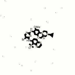 COc1cc2c(cc1Nc1ncc(Br)c(Nc3ccc4nccnc4c3P(C)(C)=O)n1)OC[C@@H]1CN(C3CC3)CCN21